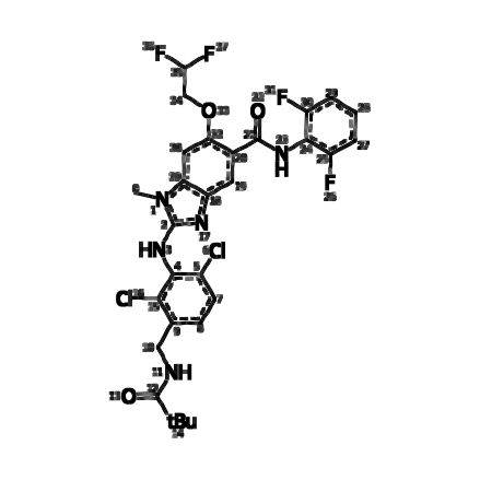 Cn1c(Nc2c(Cl)ccc(CNC(=O)C(C)(C)C)c2Cl)nc2cc(C(=O)Nc3c(F)cccc3F)c(OCC(F)F)cc21